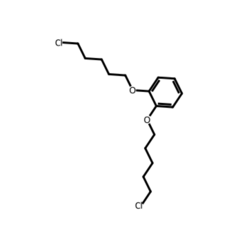 ClCCCCCOc1ccccc1OCCCCCCl